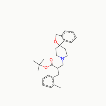 Cc1ccccc1CC(CN1CCC2(CC1)OCc1ccccc12)C(=O)OC(C)(C)C